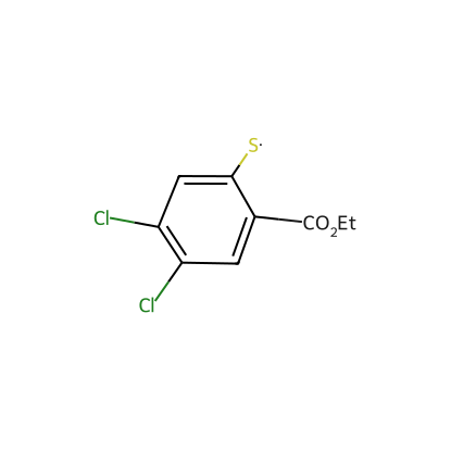 CCOC(=O)c1cc(Cl)c(Cl)cc1[S]